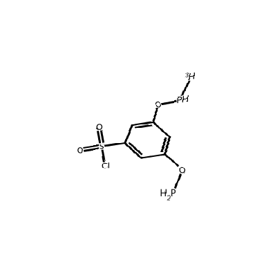 [3H]POc1cc(OP)cc(S(=O)(=O)Cl)c1